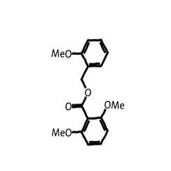 COc1ccccc1COC(=O)c1c(OC)cccc1OC